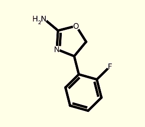 NC1=NC(c2ccccc2F)CO1